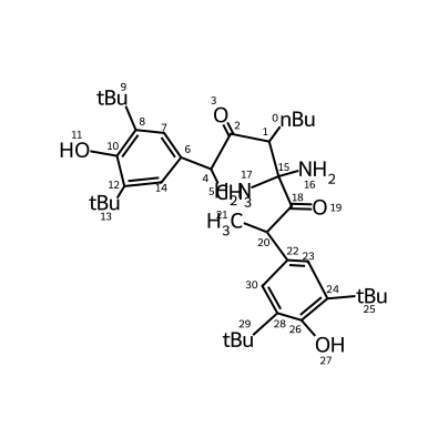 CCCCC(C(=O)C(C)c1cc(C(C)(C)C)c(O)c(C(C)(C)C)c1)C(N)(N)C(=O)C(C)c1cc(C(C)(C)C)c(O)c(C(C)(C)C)c1